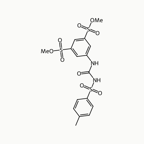 COS(=O)(=O)c1cc(NC(=O)NS(=O)(=O)c2ccc(C)cc2)cc(S(=O)(=O)OC)c1